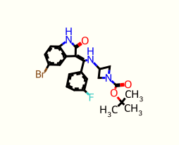 CC(C)(C)OC(=O)N1CC(N/C(=C2\C(=O)Nc3ccc(Br)cc32)c2cccc(F)c2)C1